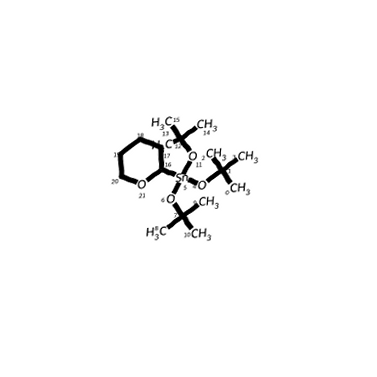 CC(C)(C)[O][Sn]([O]C(C)(C)C)([O]C(C)(C)C)[CH]1CCCCO1